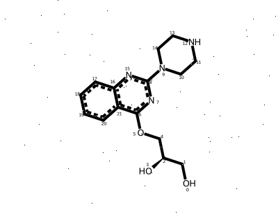 OC[C@@H](O)COc1nc(N2CCNCC2)nc2ccccc12